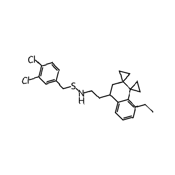 CCc1cccc2c1C1(CC1)C1(CC1)CC2CCNSCc1ccc(Cl)c(Cl)c1